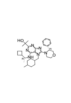 CC1CCC(Cn2c(N3CCOC[C@H]3c3ccccc3)nc3nc(C(C)(C)O)nc(N[C@H](C)C4CCC4)c32)CC1